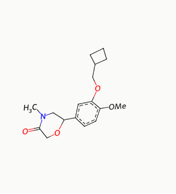 COc1ccc(C2CN(C)C(=O)CO2)cc1OCC1CCC1